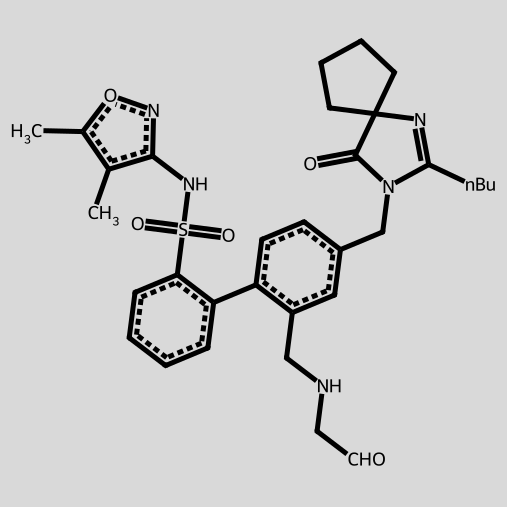 CCCCC1=NC2(CCCC2)C(=O)N1Cc1ccc(-c2ccccc2S(=O)(=O)Nc2noc(C)c2C)c(CNCC=O)c1